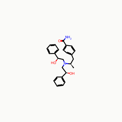 C[C@H](Cc1ccc(C(N)=O)cc1)N(C[C@@H](O)c1ccccc1)C[C@@H](O)c1ccccc1